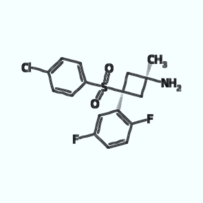 C[C@]1(N)C[C@@](c2cc(F)ccc2F)(S(=O)(=O)c2ccc(Cl)cc2)C1